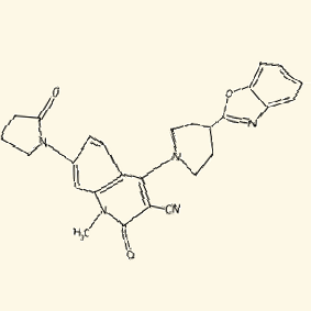 Cn1c(=O)c(C#N)c(N2CCC(c3nc4ccccc4o3)CC2)c2ccc(N3CCCC3=O)cc21